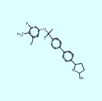 CCCC1CCC(c2ccc(-c3ccc(C(F)(F)Oc4cc(F)c(C)c(F)c4)cc3)cc2)O1